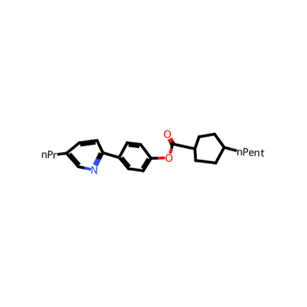 CCCCCC1CCC(C(=O)Oc2ccc(-c3ccc(CCC)cn3)cc2)CC1